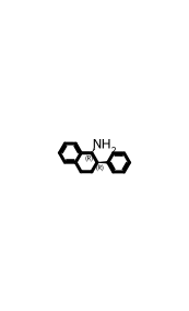 N[C@H]1c2ccccc2CC[C@@H]1c1ccccc1